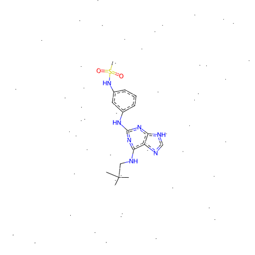 CC(C)(C)CNc1nc(Nc2cccc(NS(C)(=O)=O)c2)nc2[nH]cnc12